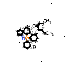 C1=CCC(N=P(C2CCCCC2)(C2CCCCC2)C2CCCCC2)=C1.CCC=C(C)C(C)=CCC.[Ti]